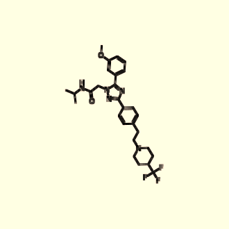 COc1cccc(-c2nc(-c3ccc(CCN4CCC(C(F)(F)F)CC4)cc3)nn2CC(=O)NC(C)C)c1